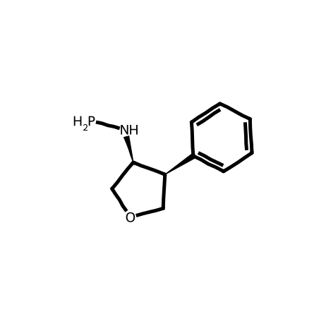 PN[C@@H]1COC[C@@H]1c1ccccc1